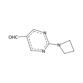 O=Cc1cnc(N2CCC2)nc1